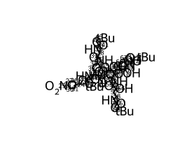 CN(C(=O)OC(C)(C)C)[C@@H]1[C@@H](O)[C@@H](O[C@@H]2[C@@H](O)[C@H](O[C@H]3OC(CNC(=O)OCc4ccc([N+](=O)[O-])cc4)=CC[C@H]3NC(=O)CNC(=O)OC(C)(C)C)[C@@H](NC(=O)OC(C)(C)C)C[C@H]2NC(=O)[C@@H](O)CCNC(=O)OC(C)(C)C)OC[C@]1(C)O